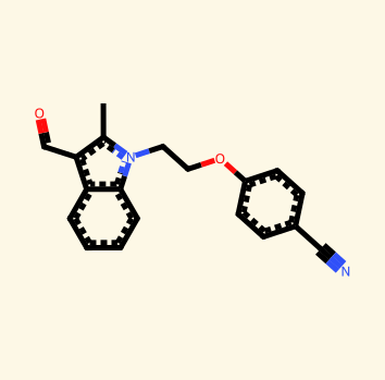 Cc1c(C=O)c2ccccc2n1CCOc1ccc(C#N)cc1